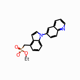 CCOS(=O)(=O)Cc1cccc2c1ccn2-c1ccc2ncccc2c1